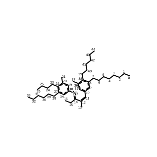 CCCCCCCCc1cc(C=C(C)C(CC)=Nc2cc(C)c(CCCC)c(CCCCCC)c2)cc(C)c1CCCCCC